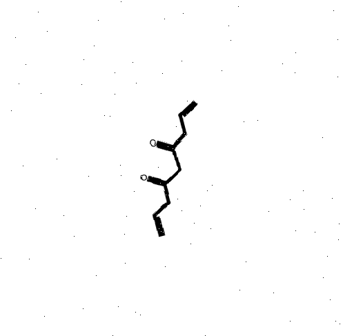 C=CCC(=O)CC(=O)CC=C